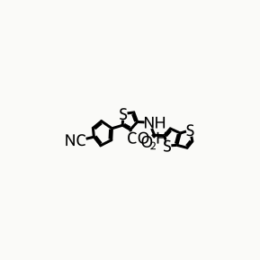 N#Cc1ccc(-c2scc(NC(=O)c3cc4sccc4s3)c2C(=O)O)cc1